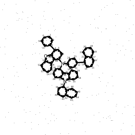 c1ccc(-c2ccc(N(c3ccc(-c4cccc5ccccc45)cc3)c3cccc4c3c3ccccc3n4-c3cccc4ccccc34)c3c2oc2ccccc23)cc1